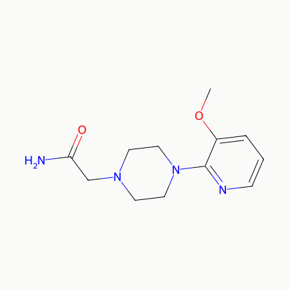 COc1cccnc1N1CCN(CC(N)=O)CC1